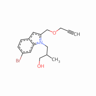 C#CCOCc1cc2ccc(Br)cc2n1CC(C)CO